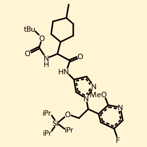 COc1ncc(F)cc1C(CO[Si](C(C)C)(C(C)C)C(C)C)n1cc(NC(=O)C(NC(=O)OC(C)(C)C)C2CCC(C)CC2)cn1